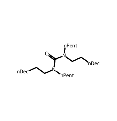 CCCCCCCCCCCCN(CCCCC)C(=O)N(CCCCC)CCCCCCCCCCCC